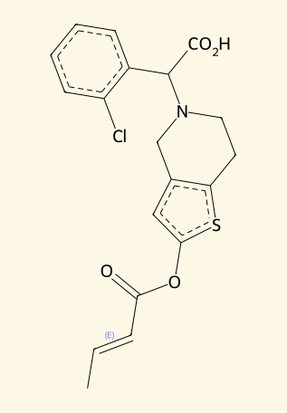 C/C=C/C(=O)Oc1cc2c(s1)CCN(C(C(=O)O)c1ccccc1Cl)C2